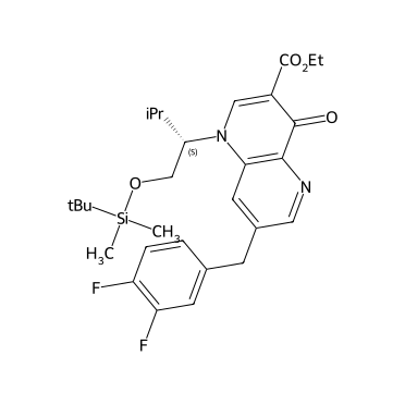 CCOC(=O)c1cn([C@H](CO[Si](C)(C)C(C)(C)C)C(C)C)c2cc(Cc3ccc(F)c(F)c3)cnc2c1=O